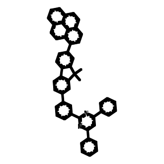 CC1(C)c2cc(-c3cccc(-c4nc(-c5ccccc5)cc(-c5ccccc5)n4)c3)ccc2-c2ccc(-c3ccc4ccc5cccc6ccc3c4c56)cc21